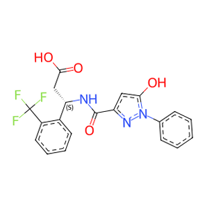 O=C(O)C[C@H](NC(=O)c1cc(O)n(-c2ccccc2)n1)c1ccccc1C(F)(F)F